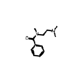 CN(C)CCN(C)C(=O)c1ccccc1